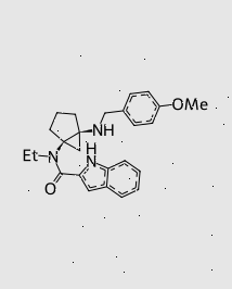 CCN(C(=O)c1cc2ccccc2[nH]1)[C@@]12CCC[C@]1(NCc1ccc(OC)cc1)C2